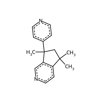 CC1(C)CC(C)(c2ccncc2)c2cnccc21